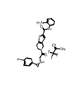 Nc1ccccc1NC(=O)c1cc2c(s1)CCN(C(=O)CNC1CC1c1ccc(F)cc1)C2.O=C(O)C(F)(F)F